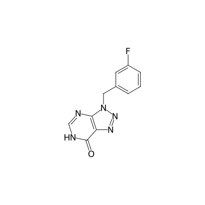 O=c1[nH]cnc2c1nnn2Cc1cccc(F)c1